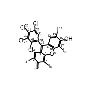 C=c1c(I)cc2c(c1I)Oc1c(cc(I)c(O)c1I)C=2c1cc(Cl)c(Cl)c(Cl)c1Cl